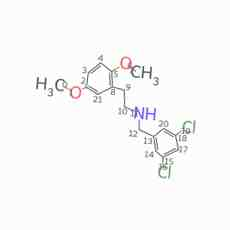 COc1ccc(OC)c(CCNCc2cc(Cl)cc(Cl)c2)c1